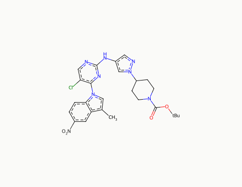 Cc1cn(-c2nc(Nc3cnn(C4CCN(C(=O)OC(C)(C)C)CC4)c3)ncc2Cl)c2ccc([N+](=O)[O-])cc12